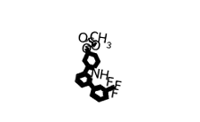 CS(=O)(=O)OC1CCc2[nH]c3c(-c4cccc(C(F)(F)F)c4)cccc3c2C1